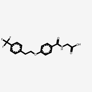 O=C(O)CNC(=O)c1ccc(OCCc2ccc(C(F)(F)F)cc2)cc1